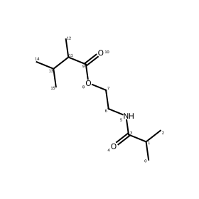 CC(C)C(=O)NCCOC(=O)C(C)C(C)C